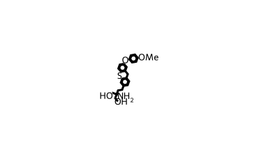 COc1ccc(Oc2ccc3c(c2)Cc2ccc(CCC(N)(CO)CO)cc2S3)cc1